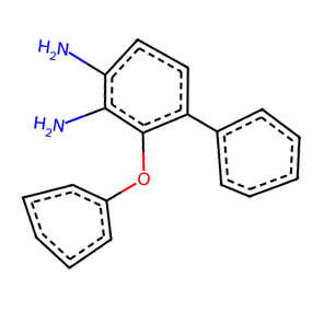 Nc1ccc(-c2ccccc2)c(Oc2ccccc2)c1N